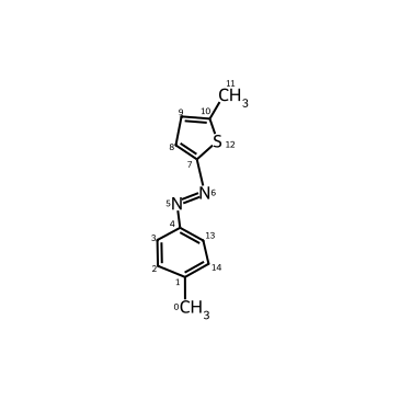 Cc1ccc(/N=N/c2ccc(C)s2)cc1